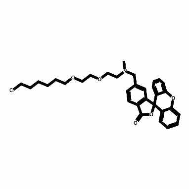 CN(CCOCCOCCCCCCCl)Cc1ccc2c(c1)C1(OC2=O)c2ccccc2Oc2ccccc21